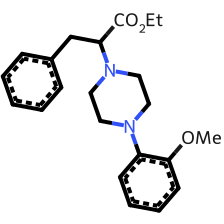 CCOC(=O)C(Cc1ccccc1)N1CCN(c2ccccc2OC)CC1